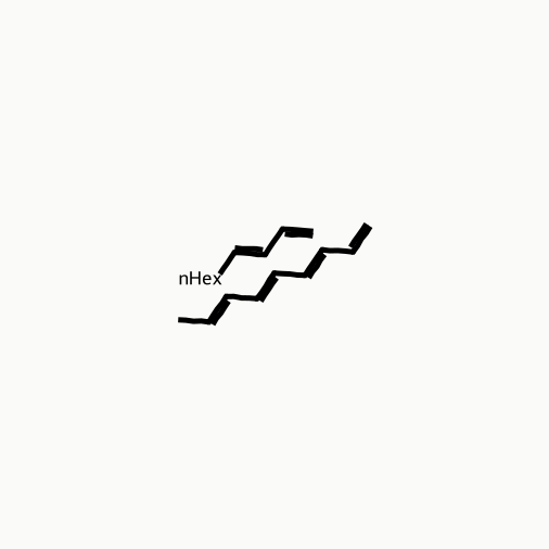 C=CC=CC=CC=CC.C=CC=CCCCCCC